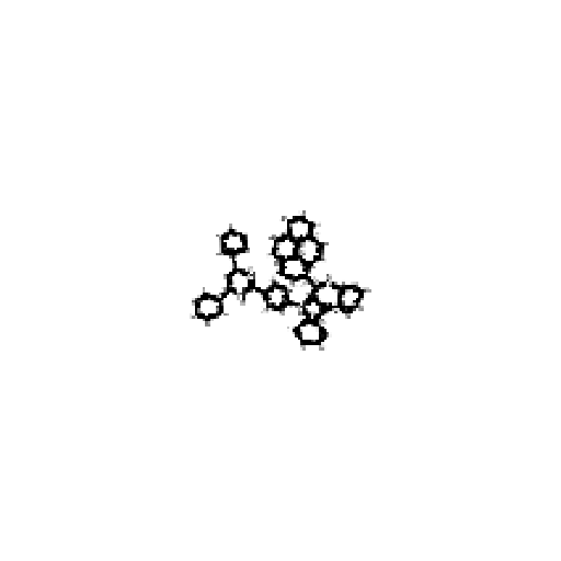 c1ccc(-c2cc(-c3ccccc3)nc(-c3ccc(-n4c5ccccc5c5c6ccccc6nc(-c6ccc7ccc8cccc9ccc6c7c89)c54)cc3)n2)cc1